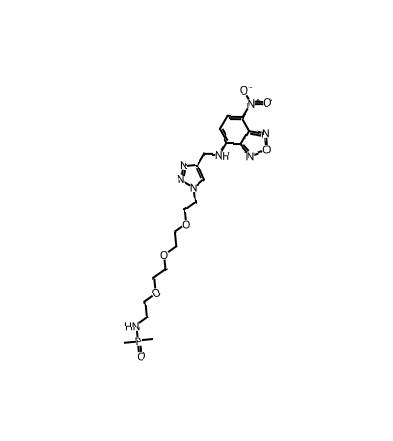 CP(C)(=O)NCCOCCOCCOCCn1cc(CNc2ccc([N+](=O)[O-])c3nonc23)nn1